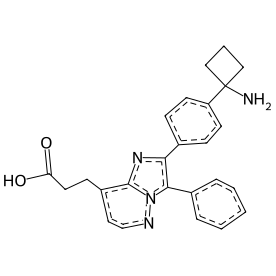 NC1(c2ccc(-c3nc4c(CCC(=O)O)ccnn4c3-c3ccccc3)cc2)CCC1